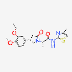 CCOc1cc([C@@H]2CC(=O)N([C@@H](C)C(=O)Nc3nc(C)cs3)C2)ccc1OC